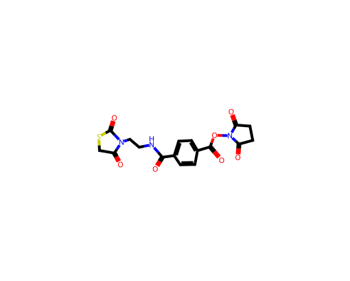 O=C(NCCN1C(=O)CSC1=O)c1ccc(C(=O)ON2C(=O)CCC2=O)cc1